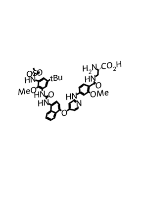 COc1cc(Nc2cc(Oc3ccc(NC(=O)Nc4cc(C(C)(C)C)cc(NS(C)(=O)=O)c4OC)c4ccccc34)ccn2)ccc1C(=O)NC[C@H](N)C(=O)O